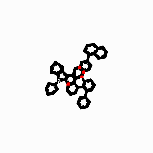 c1ccc(-c2ccccc2-c2c(-c3ccccc3)cccc2N(c2ccc(-c3cccc4ccccc34)cc2)c2ccc3c(c2)c2ccccc2n3-c2ccccc2)cc1